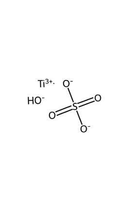 O=S(=O)([O-])[O-].[OH-].[Ti+3]